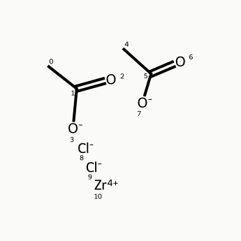 CC(=O)[O-].CC(=O)[O-].[Cl-].[Cl-].[Zr+4]